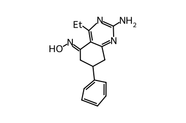 CCc1nc(N)nc2c1C(=NO)CC(c1ccccc1)C2